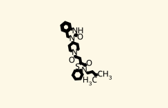 CC(C)CCN1C(=O)C(CC(=O)N2CCC(N3Cc4ccccc4NC3=O)CC2)SC12CCCCC2